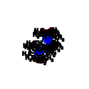 CCCCN(c1nc(N(CCCC)C2CC(C)(C)N(OC)C(C)(C)C2)nc(N(CCCCCCN(c2nc(N(CCCC)C3CC(C)(C)N(OC)C(C)(C)C3)nc(N(CCCC)C3CC(C)(C)N(OC)C(C)(C)C3)n2)C2CC(C)(C)N(OC)C(C)(C)C2)C2CC(C)(C)N(OC)C(C)(C)C2)n1)C1CC(C)(C)N(OC)C(C)(C)C1